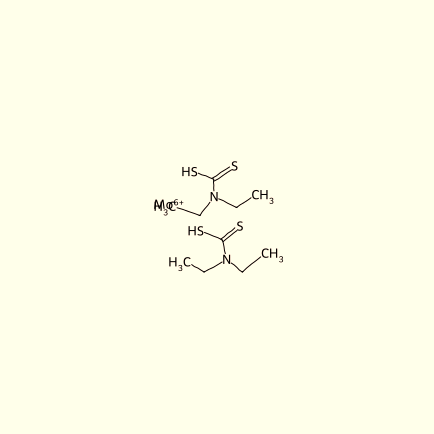 CCN(CC)C(=S)S.CCN(CC)C(=S)S.[Mo+6]